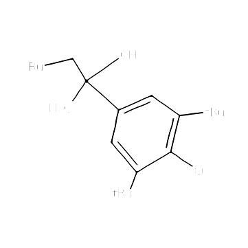 CC(C)(C)CC(C)(C)c1cc(C(C)(C)C)c(O)c(C(C)(C)C)c1